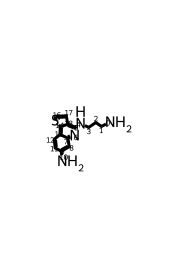 NCCCNc1nc2cc(N)ccc2c2sccc12